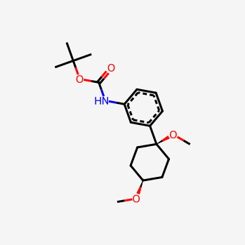 CO[C@H]1CC[C@](OC)(c2cccc(NC(=O)OC(C)(C)C)c2)CC1